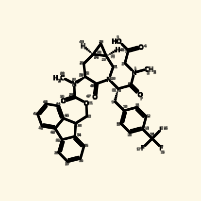 CN(CC(=O)O)C(=O)[C@H](Cc1ccc(C(F)(F)F)cc1)N1C[C@@H]2C[C@@H]2C[C@H](N(C)C(=O)OCC2c3ccccc3-c3ccccc32)C1=O